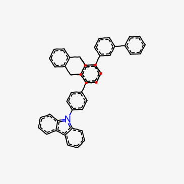 c1ccc(-c2cccc(-c3ccc(-c4ccc(-n5c6ccccc6c6ccccc65)cc4)c4c3C3c5ccccc5C4c4ccccc43)c2)cc1